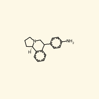 Nc1ccc(C2CN3CCC[C@@H]3c3ccccc32)cc1